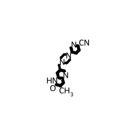 Cc1cc2ncc(CN3CCN(c4ccc(C#N)nc4)CC3)cc2[nH]c1=O